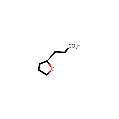 O=C(O)CC[C@@H]1CCCO1